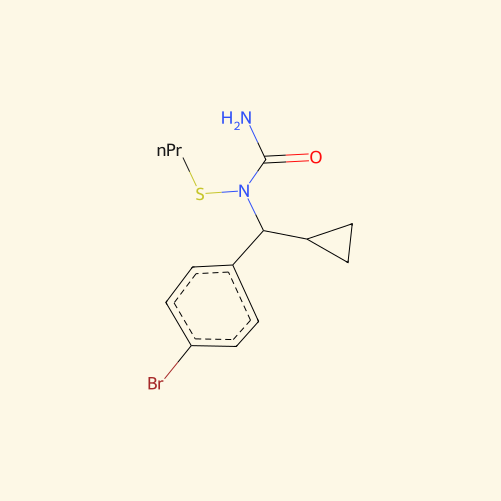 CCCSN(C(N)=O)C(c1ccc(Br)cc1)C1CC1